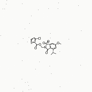 COc1cc(C(C)C)c2c(c1)S(=O)(=O)N(COC(=O)c1sccc1Cl)C2=O